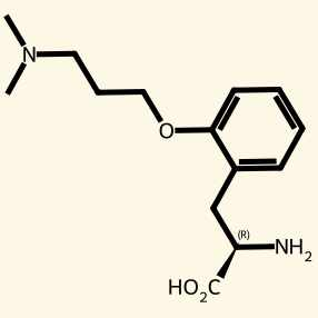 CN(C)CCCOc1ccccc1C[C@@H](N)C(=O)O